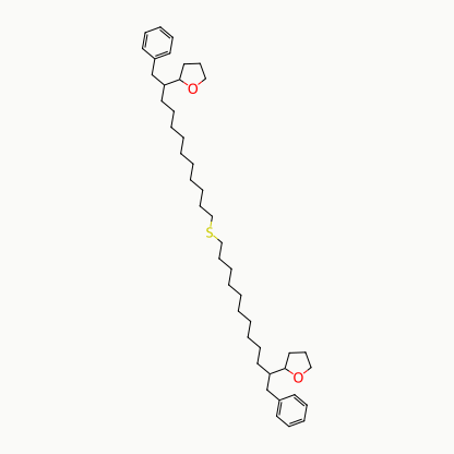 c1ccc(CC(CCCCCCCCCCSCCCCCCCCCCC(Cc2ccccc2)C2CCCO2)C2CCCO2)cc1